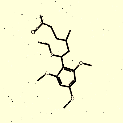 CCSC(CC(C)CCC(C)Cl)c1c(OC)cc(OC)cc1OC